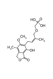 COc1c(C)c2c(c(O)c1CC=C(C)COCP(=O)(O)O)C(=O)OC2